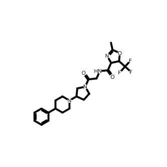 CC1=NC(C(=O)NCC(=O)N2CCC(N3CCC(c4ccccc4)CC3)C2)C(C(F)(F)F)O1